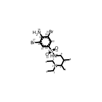 CCN(CC)C(C)C(C)CNS(=O)(=O)c1cc(Br)c(N)c(Br)c1